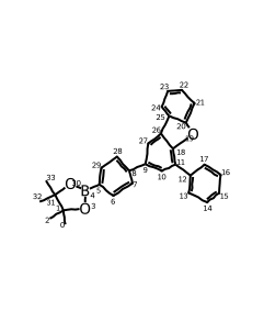 CC1(C)OB(c2ccc(-c3cc(-c4ccccc4)c4oc5ccccc5c4c3)cc2)OC1(C)C